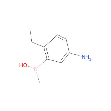 CCc1ccc(N)cc1B(C)O